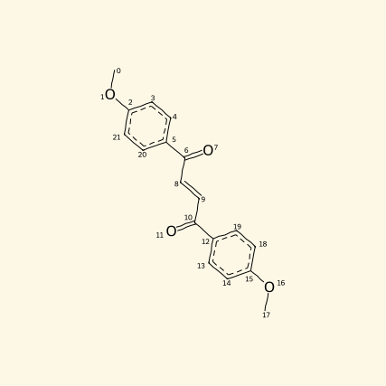 COc1ccc(C(=O)C=CC(=O)c2ccc(OC)cc2)cc1